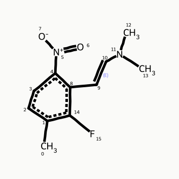 Cc1ccc([N+](=O)[O-])c(/C=C/N(C)C)c1F